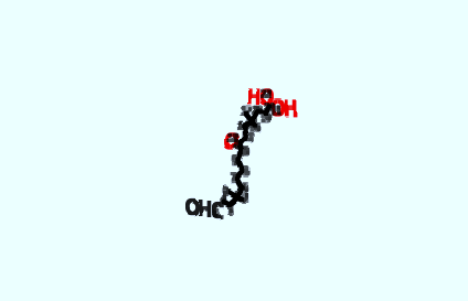 CC(C)(CCC=O)CCCCCC(=O)CCC(C)(C)CCC(O)O